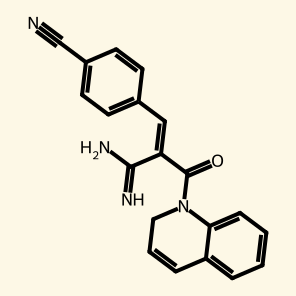 N#Cc1ccc(C=C(C(=N)N)C(=O)N2CC=Cc3ccccc32)cc1